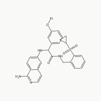 CCOc1cccc(C(Nc2ccc3c(N)nccc3c2)C(=O)NCc2ccccc2S(=O)(=O)C2CC2)c1